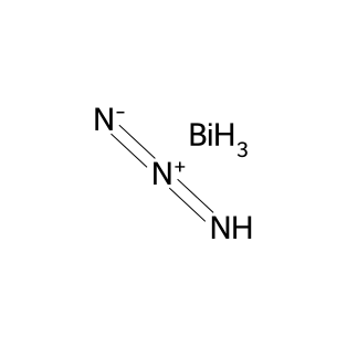 [BiH3].[N-]=[N+]=N